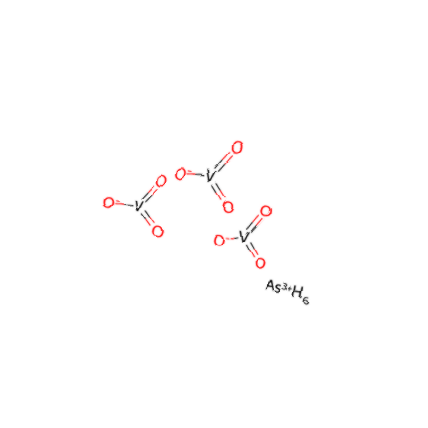 [AsH6+3].[O]=[V](=[O])[O-].[O]=[V](=[O])[O-].[O]=[V](=[O])[O-]